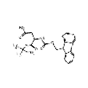 CC(C)(C)OC(=O)C(CC(=O)O)NC(=O)OCC1c2ccccc2-c2ccccc21